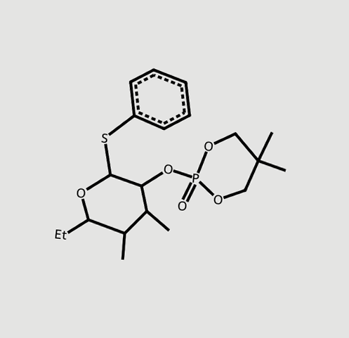 CCC1OC(Sc2ccccc2)C(OP2(=O)OCC(C)(C)CO2)C(C)C1C